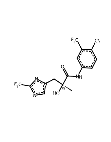 C[C@](O)(Cn1cnc(C(F)(F)F)n1)C(=O)Nc1ccc(C#N)c(C(F)(F)F)c1